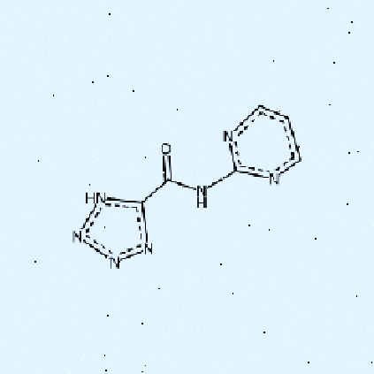 O=C(Nc1ncccn1)c1nnn[nH]1